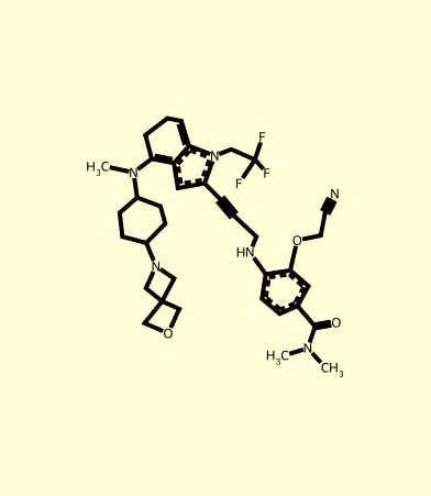 CN(C)C(=O)c1ccc(NCC#Cc2cc3c(n2CC(F)(F)F)=CCCC=3N(C)C2CCC(N3CC4(COC4)C3)CC2)c(OCC#N)c1